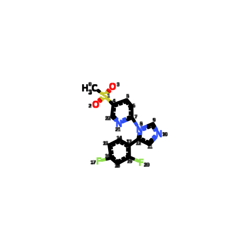 CS(=O)(=O)c1ccc(-n2cncc2-c2ccc(F)cc2F)nc1